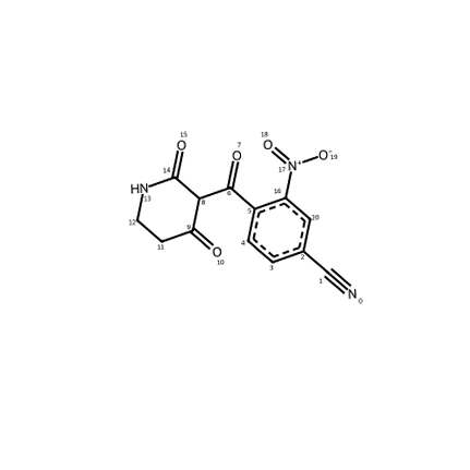 N#Cc1ccc(C(=O)C2C(=O)CCNC2=O)c([N+](=O)[O-])c1